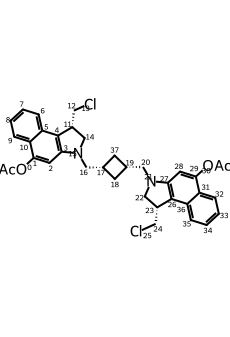 CC(=O)Oc1cc2c(c3ccccc13)[C@H](CCl)CN2C[C@H]1C[C@@H](CN2C[C@@H](CCl)c3c2cc(OC(C)=O)c2ccccc32)C1